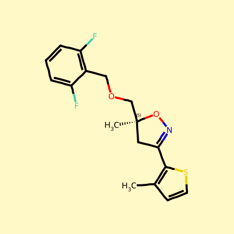 Cc1ccsc1C1=NO[C@](C)(COCc2c(F)cccc2F)C1